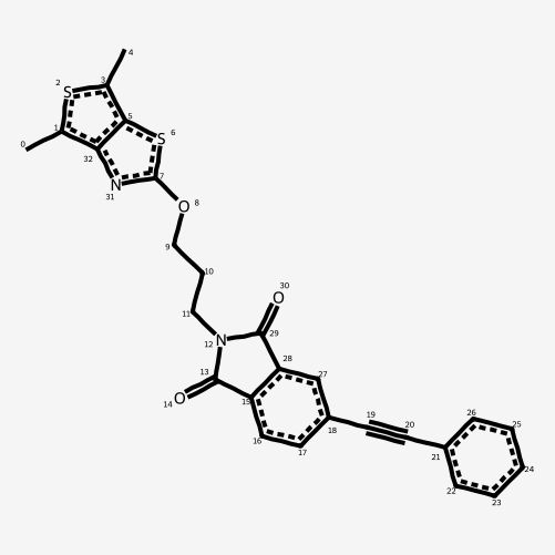 Cc1sc(C)c2sc(OCCCN3C(=O)c4ccc(C#Cc5ccccc5)cc4C3=O)nc12